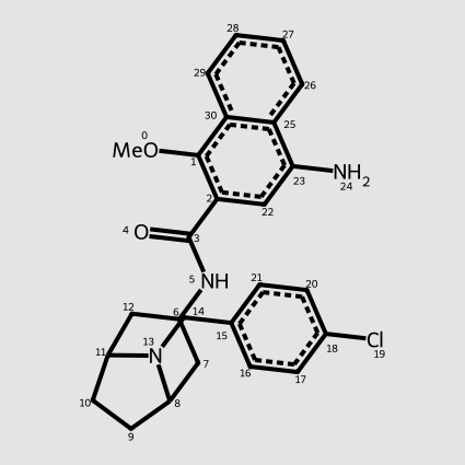 COc1c(C(=O)NC2CC3CCC(C2)N3Cc2ccc(Cl)cc2)cc(N)c2ccccc12